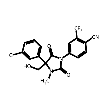 CN1C(=O)N(c2ccc(C#N)c(C(F)(F)F)c2)C(=O)C1(CO)c1cccc(Cl)c1